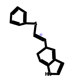 C1=c2cc[nH]c2=CCC1/C=C/Sc1ccccc1